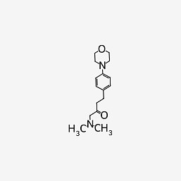 CN(C)CC(=O)CCc1ccc(N2CCOCC2)cc1